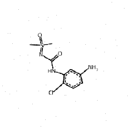 CS(C)(=O)=NC(=O)Nc1cc(N)ccc1Cl